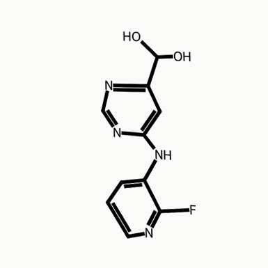 OC(O)c1cc(Nc2cccnc2F)ncn1